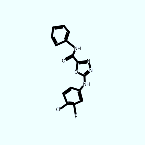 O=C(Nc1ccccc1)c1nnc(Nc2ccc(Cl)c(F)c2)o1